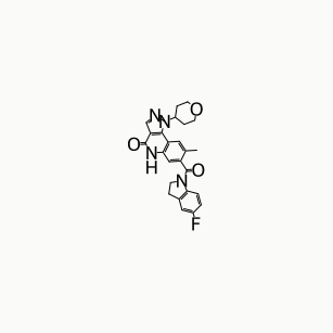 Cc1cc2c(cc1C(=O)N1CCc3cc(F)ccc31)[nH]c(=O)c1cnn(C3CCOCC3)c12